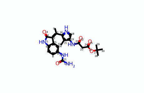 CC(=C1C(=O)Nc2ccc(NC(N)=O)cc21)c1[nH]cc(NC(=O)CC(=O)OC(C)(C)C)c1C